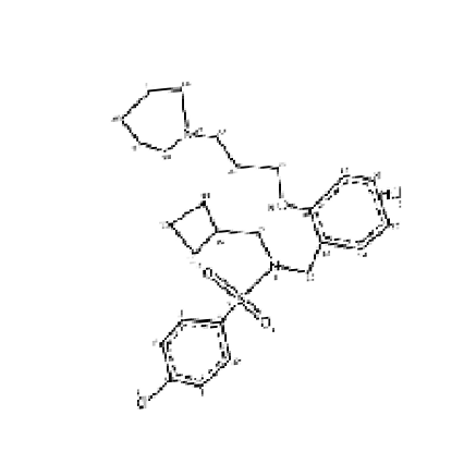 Cl.O=S(=O)(c1ccc(Cl)cc1)N(Cc1ccccc1OCCCN1CCCCC1)CC1CCC1